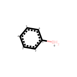 Bc1c[c]ccc1